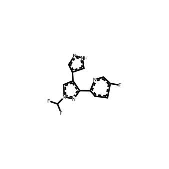 Fc1ccc(-c2nn(C(F)F)cc2-c2cn[nH]c2)nc1